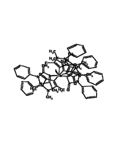 Cc1[c]([Tb]([I])([I])([I])([c]2c(C)n(C)n(-c3ccccc3)c2=O)([c]2c(C)n(C)n(-c3ccccc3)c2=O)([c]2c(C)n(C)n(-c3ccccc3)c2=O)([c]2c(C)n(C)n(-c3ccccc3)c2=O)[c]2c(C)n(C)n(-c3ccccc3)c2=O)c(=O)n(-c2ccccc2)n1C